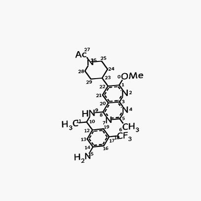 COc1nc2nc(C)nc(NC(C)c3cc(N)cc(C(F)(F)F)c3)c2cc1C1CCN(C(C)=O)CC1